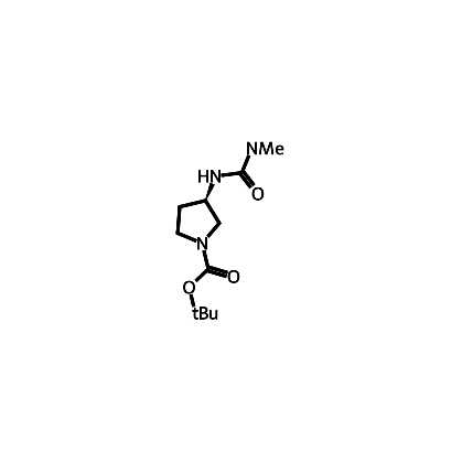 CNC(=O)N[C@@H]1CCN(C(=O)OC(C)(C)C)C1